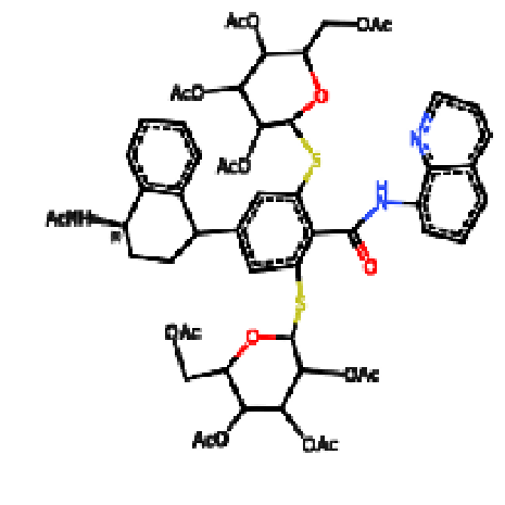 CC(=O)N[C@@H]1CCC(c2cc(SC3OC(COC(C)=O)C(OC(C)=O)C(OC(C)=O)C3OC(C)=O)c(C(=O)Nc3cccc4cccnc34)c(SC3OC(COC(C)=O)C(OC(C)=O)C(OC(C)=O)C3OC(C)=O)c2)c2ccccc21